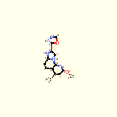 CCOc1cc(C(F)(F)F)c2ccc3nc(-c4nnco4)cn3c2n1